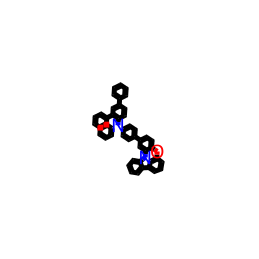 c1ccc(-c2ccc(N(c3ccccc3)c3ccc(-c4ccc5c(c4)-n4c6ccccc6c6cccc(c64)O5)cc3)c(-c3ccccc3)c2)cc1